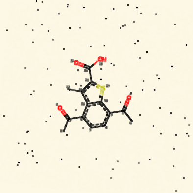 CC(=O)c1ccc(C(C)=O)c2c(C)c(C(=O)O)sc12